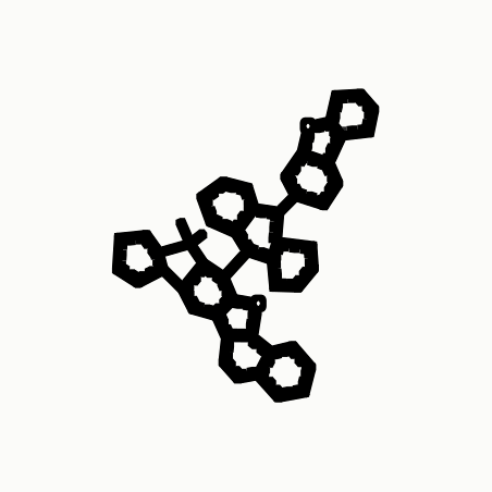 CC1(C)c2ccccc2-c2cc3c(oc4c5ccccc5ccc34)c(-c3c4ccccc4c(-c4ccc5c(c4)oc4ccccc45)c4ccccc34)c21